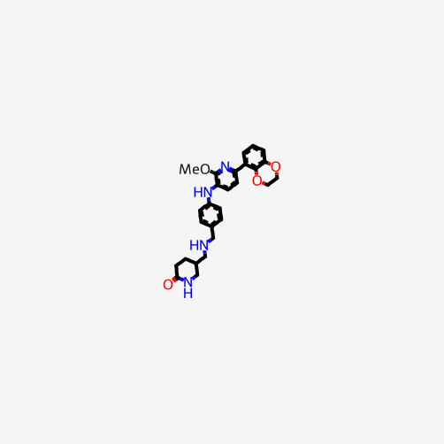 COc1nc(-c2cccc3c2OCCO3)ccc1Nc1ccc(CNCC2CCC(=O)NC2)cc1